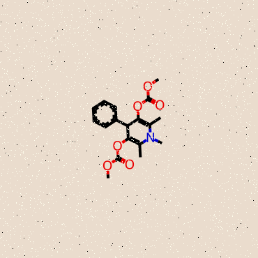 COC(=O)OC1=C(C)N(C)C(C)=C(OC(=O)OC)C1c1ccccc1